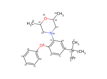 CCC[Si](C)(C)c1ccc(Oc2ccccc2)c(N2CC(C)OC(C)C2)c1